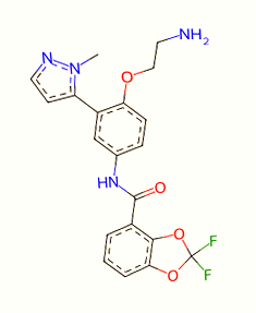 Cn1nccc1-c1cc(NC(=O)c2cccc3c2OC(F)(F)O3)ccc1OCCN